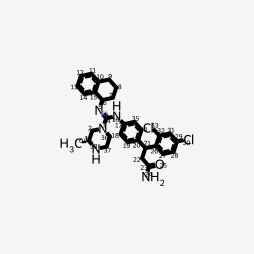 C[C@H]1CN(/C(=N/C2CCCc3ccccc32)Nc2ccc(C(CC(N)=O)c3ccc(Cl)cc3Cl)cc2)CCN1